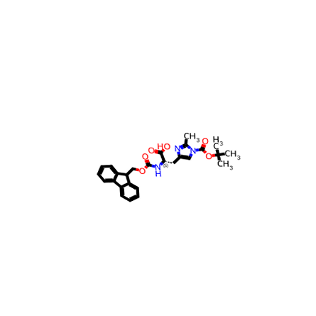 Cc1nc(C[C@H](NC(=O)OCC2c3ccccc3-c3ccccc32)C(=O)O)cn1C(=O)OC(C)(C)C